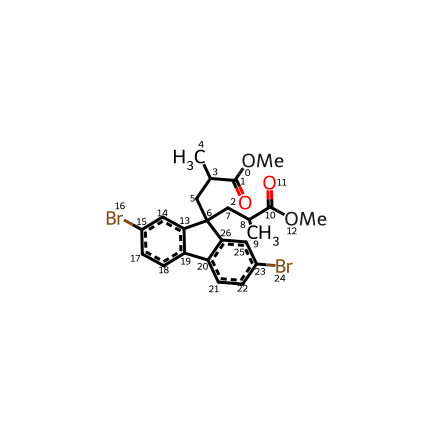 COC(=O)C(C)CC1(CC(C)C(=O)OC)c2cc(Br)ccc2-c2ccc(Br)cc21